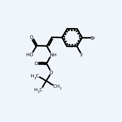 CC(C)(C)OC(=O)N/C(=C\c1ccc(Br)c(F)c1)C(=O)O